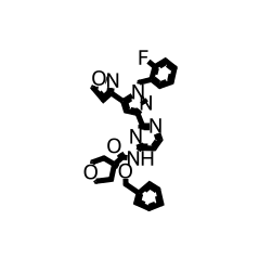 O=C(Nc1ccnc(-c2cc(-c3ccon3)n(Cc3ccccc3F)n2)n1)C1(OCc2ccccc2)CCOCC1